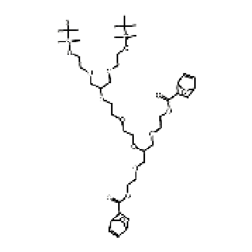 CC(C)(C)[Si](C)(C)OCCOCC(COCCO[Si](C)(C)C(C)(C)C)OCCOCCOC(COCCOC(=O)C1CC2C=CC1O2)COCCOC(=O)C1CC2C=CC1O2